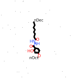 CCCCCCCCCCCCCCCCCC(=O)NNC(=O)c1ccc(OCCCCCCCC)cc1O